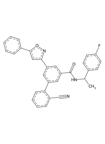 CC(NC(=O)c1cc(-c2cc(-c3ccccc3)on2)cc(-c2ccccc2C#N)c1)c1ccc(F)cc1